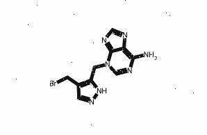 Nc1ncn(Cc2[nH]ncc2CBr)c2ncnc1-2